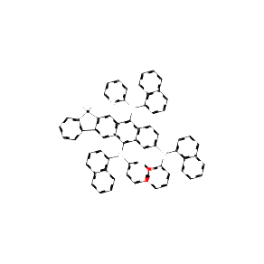 CC1(C)c2ccccc2-c2cc3c(N(c4ccccn4)c4cccc5ccccc45)c4cc(N(c5ccccn5)c5cccc6ccccc56)ccc4c(N(c4ccccn4)c4cccc5ccccc45)c3cc21